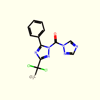 O=C(n1cncn1)n1nc(C(Cl)(Cl)C(Cl)(Cl)Cl)nc1-c1ccccc1